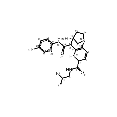 O=C(NCC(F)F)C1C=CC2=C(N1)N(C(=O)Nc1ccc(F)cn1)[C@H]1CCN2C1